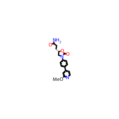 COc1cc(-c2ccc(N3C[C@H](CCC(N)=O)OC3=O)cc2)ccn1